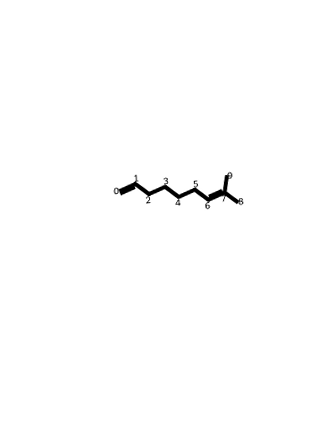 C=CCCCCC=C(C)C